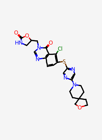 O=C1NCC(Cn2cnc3ccc(Sc4cnc(N5CCC6(CCOC6)CC5)cn4)c(Cl)c3c2=O)O1